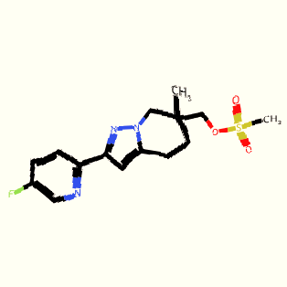 CC1(COS(C)(=O)=O)CCc2cc(-c3ccc(F)cn3)nn2C1